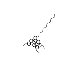 CCCCCCCCCCO[Si](OOCC)(OOCC)OOCC